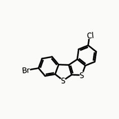 Clc1ccc2sc3sc4cc(Br)ccc4c3c2c1